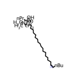 CCCC/C=C\CCCCCCCCCCCCCCCCCOP(=O)(O)C(CCC)[N+](C)(C)C